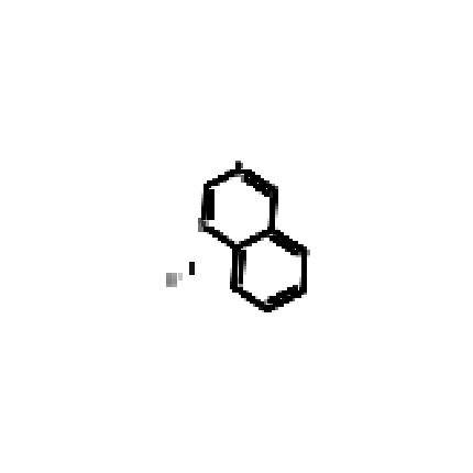 [H+].[H+].c1ccc2ncncc2c1